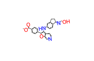 COC(=O)c1ccc(-c2oc3cnccc3c2Nc2ccc3c(c2)CC/C3=N\CO)cc1